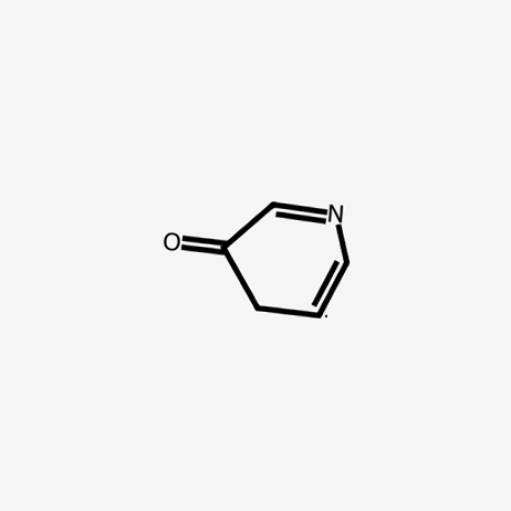 O=C1C=NC=[C]C1